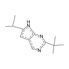 CC(C)c1cc2cnc(C(C)(C)C)nc2[nH]1